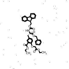 CCOC(=O)COc1ccc(C[C@H](NC(=O)OCC2c3ccccc3-c3ccccc32)C(=O)OCc2ccccc2)cc1C(=O)OCC